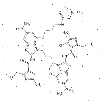 CCn1nc(C)cc1C(=O)Nc1nc2cc(C(N)=O)cc(OCCCNC(=O)CN(C)C)c2n1CCC[C@H]1COc2cc(C(N)=O)cc3nc(NC(=O)c4c(Cl)c(C)nn4CC)n1c23